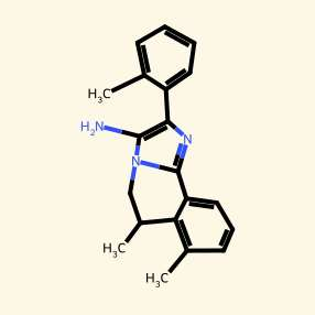 Cc1ccccc1-c1nc2n(c1N)CC(C)c1c(C)cccc1-2